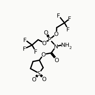 NN(C(=O)OC1CCS(=O)(=O)C1)P(=O)(OCC(F)(F)F)OCC(F)(F)F